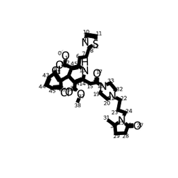 COC(=O)C1=C(CCc2nccs2)NC(CC(=O)N2CCN(CCCN3C(=O)CCC3C)CC2)=C(C(=O)OC)C1c1c(Cl)cccc1Cl